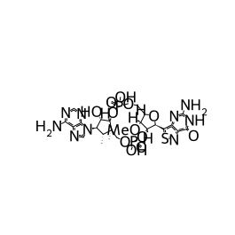 CO[C@H]1[C@H]2OP(=O)(O)OC[C@@]3(C)[C@H](C)[C@@H](n4cnc5c(N)ncnc54)[C@H](O)[C@@H]3OP(=O)(O)OC[C@H]1O[C@H]2c1snc2c(=O)[nH]c(N)nc12